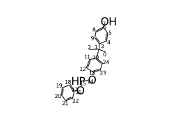 CC(C)(c1ccc(O)cc1)c1ccc(OPOc2ccccc2)cc1